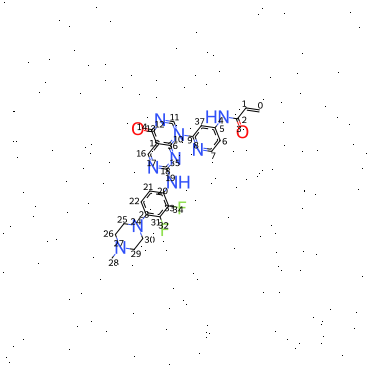 C=CC(=O)Nc1ccnc(-n2cnc(=O)c3cnc(Nc4ccc(N5CCN(C)CC5)c(F)c4F)nc32)c1